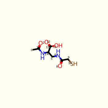 CC(=O)NC(CNC(=O)CS)C(=O)O